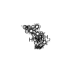 NC(=O)c1ccccc1.NC(=O)c1ccccc1.O=C([O-])c1ccccc1-c1c2cc(Br)c(=O)cc-2oc2[c]([Hg][OH])c([O-])c(Br)cc12.[Na+].[Na+]